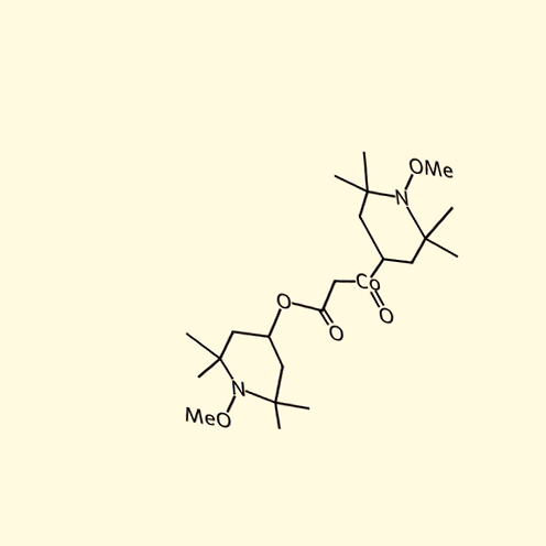 CON1C(C)(C)CC(OC(=O)[CH2][Co](=[O])[CH]2CC(C)(C)N(OC)C(C)(C)C2)CC1(C)C